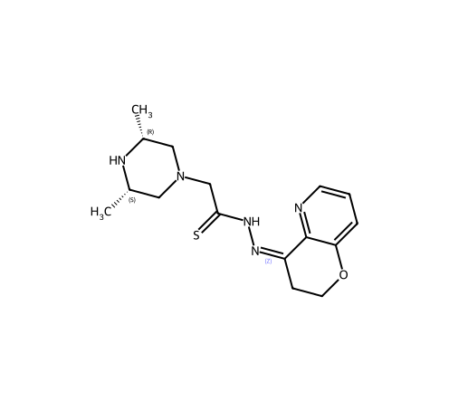 C[C@@H]1CN(CC(=S)N/N=C2/CCOc3cccnc32)C[C@H](C)N1